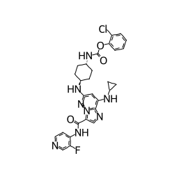 O=C(N[C@H]1CC[C@H](Nc2cc(NC3CC3)c3ncc(C(=O)Nc4ccncc4F)n3n2)CC1)Oc1ccccc1Cl